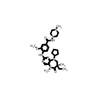 CC[C@@]1(C)CN(C2CCCC2)c2nc(Nc3ccc(C(=O)NN4CCN(C)CC4)cc3OC)ncc2N(C)C1=O